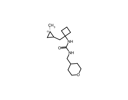 C[C@H]1CC1CC1(NC(=O)NCC2CCOCC2)CCC1